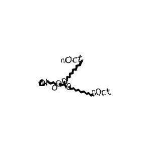 CCCCCCCC/C=C\CCCCCCCCOCC(COC(=O)CCCN1CCCC1)OCCCCCCCC/C=C\CCCCCCCC